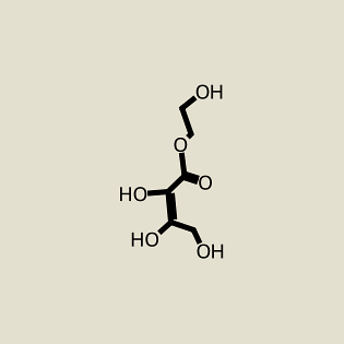 O=C(OCCO)/C(O)=C(/O)CO